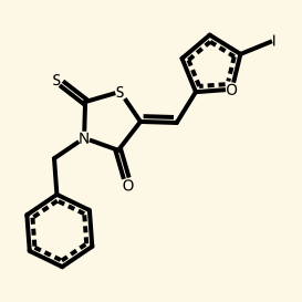 O=C1C(=Cc2ccc(I)o2)SC(=S)N1Cc1ccccc1